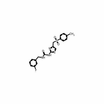 Cc1ccc(S(=O)(=O)Cc2csc(NC(=O)NCc3cccc(F)c3)n2)cc1